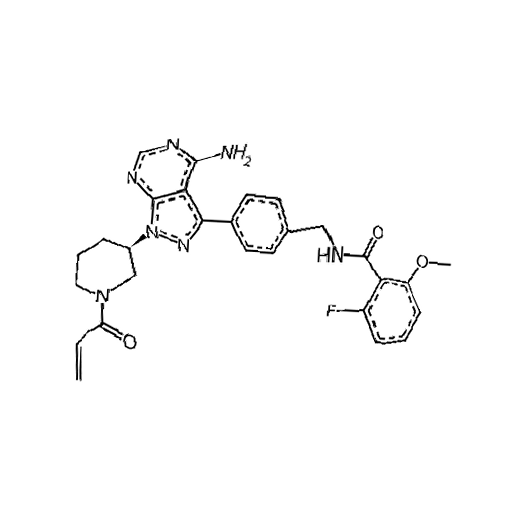 C=CC(=O)N1CCC[C@@H](n2nc(-c3ccc(CNC(=O)c4c(F)cccc4OC)cc3)c3c(N)ncnc32)C1